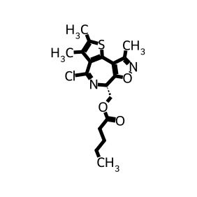 CCCCC(=O)OC[C@@H]1N=C(Cl)c2c(sc(C)c2C)-c2c(C)noc21